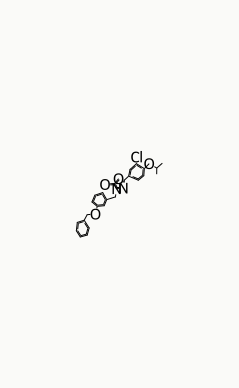 CC(C)Oc1ccc(-c2nn(Cc3cccc(OCc4ccccc4)c3)c(=O)o2)cc1Cl